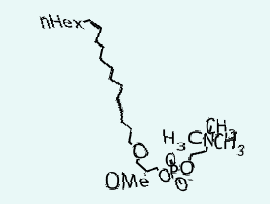 CCCCCC/C=C\CCCCCCCCCCCOC[C@H](COP(=O)([O-])OCC[N+](C)(C)C)OC